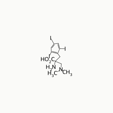 CN(C)CC(N)(Cc1c(I)cc(I)cc1I)C(=O)O